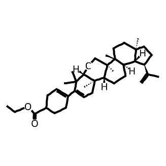 C=C(C)[C@@H]1CC[C@]2(C)CC[C@]3(C)[C@H](CC[C@@H]4[C@@]5(C)CC=C(C6=CCC(C(=O)OCC)CC6)C(C)(C)[C@@H]5CC[C@]43C)[C@@H]12